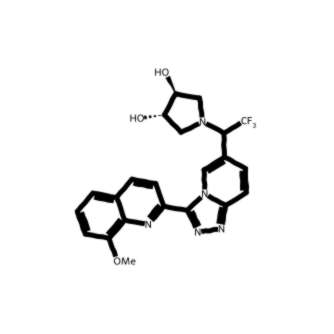 COc1cccc2ccc(-c3nnc4ccc(C(N5C[C@H](O)[C@@H](O)C5)C(F)(F)F)cn34)nc12